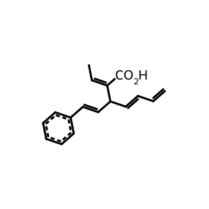 C=CC=CC(C=Cc1ccccc1)C(=CC)C(=O)O